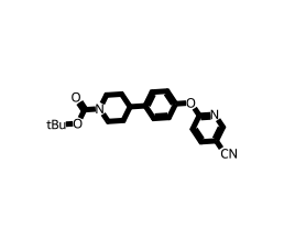 CC(C)(C)OC(=O)N1CCC(c2ccc(Oc3ccc(C#N)cn3)cc2)CC1